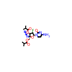 CC(C)C(=O)OC[C@@]1(N=[N+]=[N-])O[C@@H](n2ccc(N)nc2=O)[C@H](F)[C@@H]1OC(=O)C(C)C